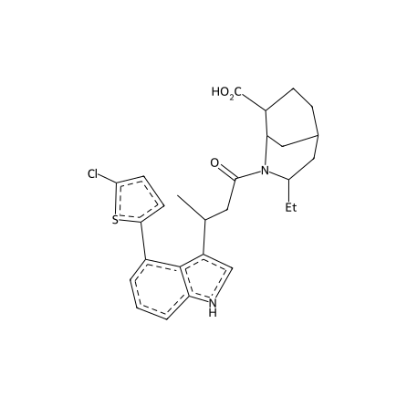 CCC1CC2CCC(C(=O)O)C(C2)N1C(=O)CC(C)c1c[nH]c2cccc(-c3ccc(Cl)s3)c12